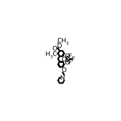 CCOC(=O)C1CC=C(OS(=O)(=O)C(F)(F)F)C(Cc2ccc(OCCN3CCCCC3)cc2)C1C